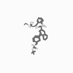 CCOC(=O)Cc1ccccc1NC(=O)c1cc(-c2cccc(CNC(=O)OC(C)(C)C)c2)c2ccccc2c1